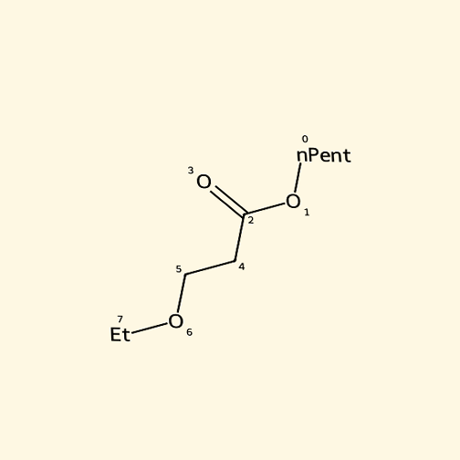 [CH2]CCCCOC(=O)CCOCC